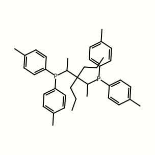 CCCC(CCC)(C(C)P(c1ccc(C)cc1)c1ccc(C)cc1)C(C)P(c1ccc(C)cc1)c1ccc(C)cc1